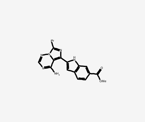 COC(=O)c1ccc2cc(-c3nc(C(C)C)n4ncnc(N)c34)[nH]c2c1